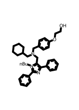 CCCCn1c(-c2ccccc2)nc(-c2ccccc2)c1CN(Cc1ccc(OCCO)cc1)CC1CCCCC1